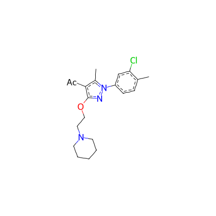 CC(=O)c1c(OCCN2CCCCC2)nn(-c2ccc(C)c(Cl)c2)c1C